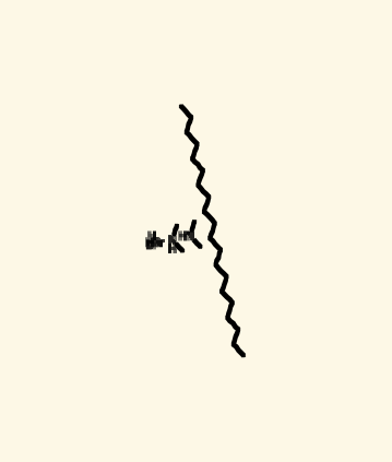 Br.Br.CCCCCCCCCCCCCCCCCCCC.CNC.CNC